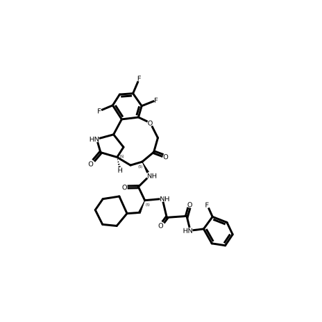 O=C(Nc1ccccc1F)C(=O)N[C@@H](CC1CCCCC1)C(=O)N[C@H]1C[C@@H]2CC(NC2=O)c2c(F)cc(F)c(F)c2OCC1=O